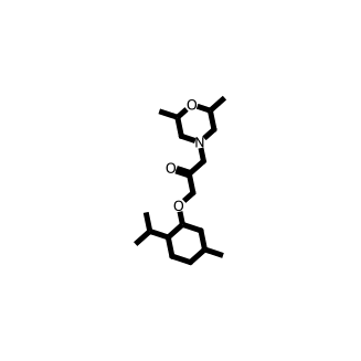 CC1CCC(C(C)C)C(OCC(=O)CN2CC(C)OC(C)C2)C1